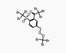 O=C(c1cc(SOOC(Br)(Br)Br)ccc1S(=O)(=O)C(Br)(Br)Br)C(Br)(Br)Br